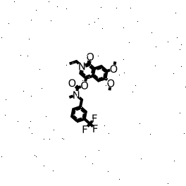 CCn1cc(OC(=O)N(C)Cc2cccc(C(F)(F)F)c2)c2cc(OC)c(OC)cc2c1=O